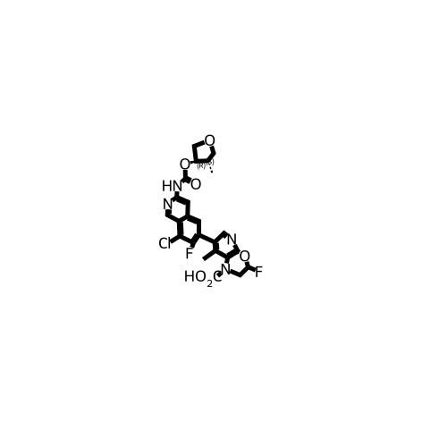 Cc1c(-c2cc3cc(NC(=O)O[C@H]4COC[C@@H]4C)ncc3c(Cl)c2F)cnc2c1N(C(=O)O)CC(F)O2